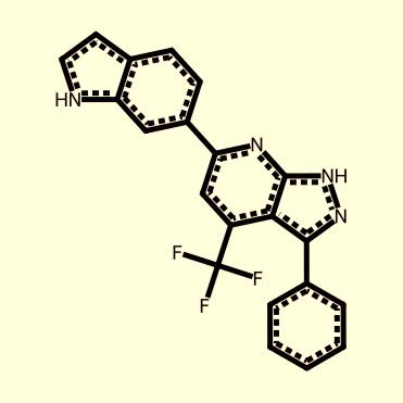 FC(F)(F)c1cc(-c2ccc3cc[nH]c3c2)nc2[nH]nc(-c3ccccc3)c12